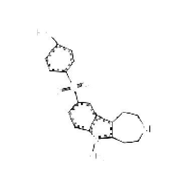 Cn1c2c(c3cc(S(=O)(=O)c4ccc(C(F)(F)F)cc4)ccc31)CCNCC2